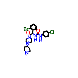 CN1CCC(N2CCN(C(=O)C(NC(=O)Nc3ccc(Cl)cc3)c3ccccc3Br)CC2)CC1